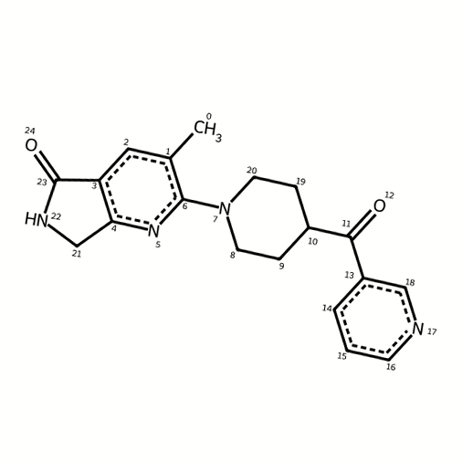 Cc1cc2c(nc1N1CCC(C(=O)c3cccnc3)CC1)CNC2=O